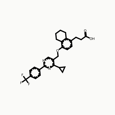 O=C(O)CCc1ccc(OCc2cnc(-c3ccc(C(F)(F)F)cc3)nc2C2CC2)c2c1CCCC2